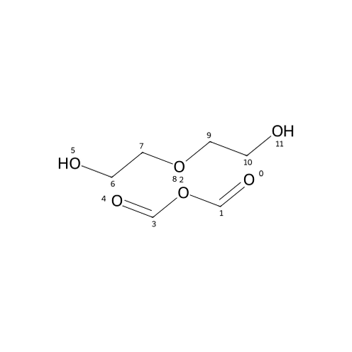 O=COC=O.OCCOCCO